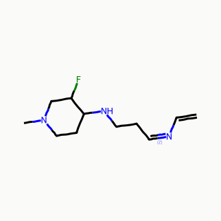 C=C/N=C\CCNC1CCN(C)CC1F